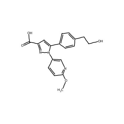 COc1ccc(-n2nc(C(=O)O)cc2-c2ccc(CCO)cc2)cn1